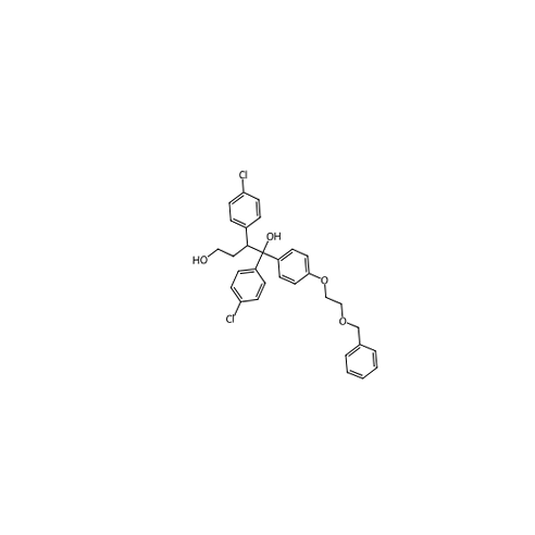 OCCC(c1ccc(Cl)cc1)C(O)(c1ccc(Cl)cc1)c1ccc(OCCOCc2ccccc2)cc1